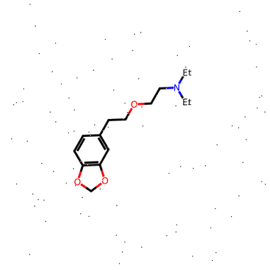 CCN(CC)CCOCCc1ccc2c(c1)OCO2